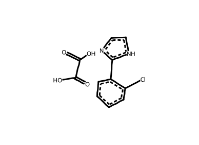 Clc1ccccc1-c1ncc[nH]1.O=C(O)C(=O)O